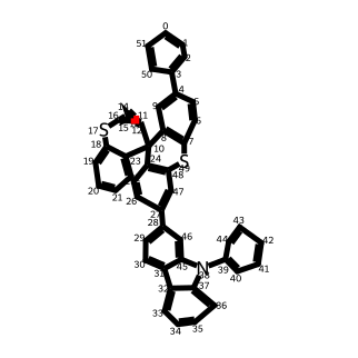 c1ccc(-c2ccc3c(c2)C2(c4ccccc4Sc4ccccc42)c2ccc(-c4ccc5c6ccccc6n(-c6ccccc6)c5c4)cc2S3)cc1